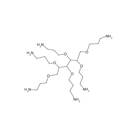 NCCCOCC(OCCCN)C(OCCCN)C(OCCCN)C(COCCCN)OCCCN